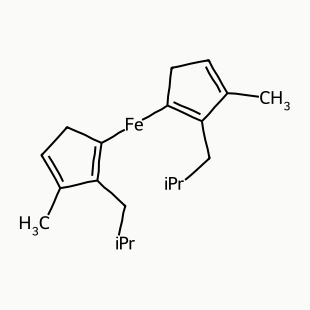 CC1=CC[C]([Fe][C]2=C(CC(C)C)C(C)=CC2)=C1CC(C)C